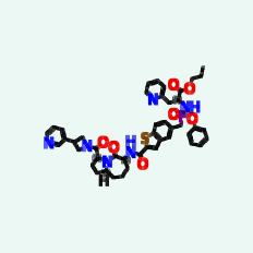 CCCOC(=O)[C@H](Cc1ccccn1)NP(=O)(Cc1ccc2sc(C(=O)N[C@H]3CCC[C@H]4CC[C@@H](C(=O)N5CC(c6cccnc6)C5)N4C3=O)cc2c1)Oc1ccccc1